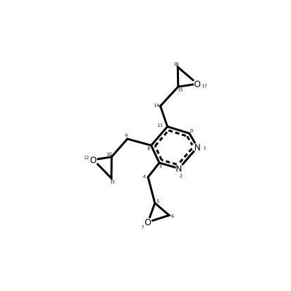 c1nnc(CC2CO2)c(CC2CO2)c1CC1CO1